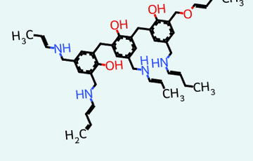 C=CC=CNCc1cc(CNC=CC)cc(Cc2cc(CNC=CC)cc(Cc3cc(CNC=CCC)cc(COC=CCC)c3O)c2O)c1O